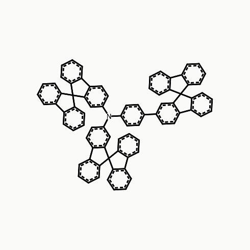 c1ccc2c(c1)-c1ccccc1C21c2ccccc2-c2ccc(-c3ccc(N(c4ccc5c(c4)C4(c6ccccc6-c6ccccc64)c4ccccc4-5)c4ccc5c(c4)C4(c6ccccc6-c6ccccc64)c4ccccc4-5)cc3)cc21